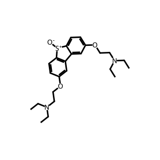 CCN(CC)CCOc1ccc2c(c1)c1cc(OCCN(CC)CC)ccc1[s+]2[O-]